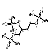 CC(C)P(=O)(OCCC(COP(=O)(C(C)C)C(C)C)OP(=O)(C(C)C)C(C)C)C(C)C